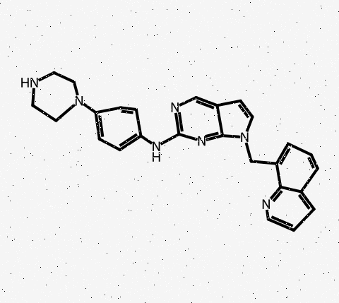 c1cnc2c(Cn3ccc4cnc(Nc5ccc(N6CCNCC6)cc5)nc43)cccc2c1